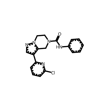 O=C(Nc1ccccc1)N1CCn2ncc(-c3cccc(Cl)n3)c2C1